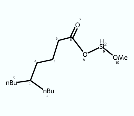 CCCCC(CCCC)CCCC(=O)O[SiH2]OC